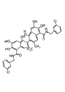 Cc1cc2c(C(=O)NCc3cccc(Cl)c3)c(O)c(O)cc2c(O)c1-c1c(C)cc2c(C(=O)NCc3cccc(Cl)c3)c(O)c(O)cc2c1O